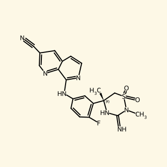 CN1C(=N)N[C@](C)(c2cc(Nc3nccc4cc(C#N)cnc34)ccc2F)CS1(=O)=O